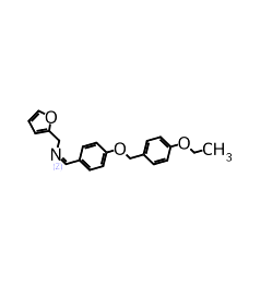 CCOc1ccc(COc2ccc(/C=N\Cc3ccco3)cc2)cc1